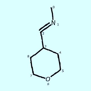 C/N=C/C1CCOCC1